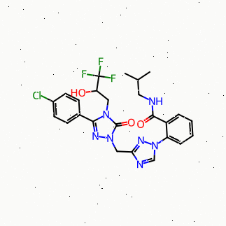 CC(C)CNC(=O)c1ccccc1-n1cnc(Cn2nc(-c3ccc(Cl)cc3)n(CC(O)C(F)(F)F)c2=O)n1